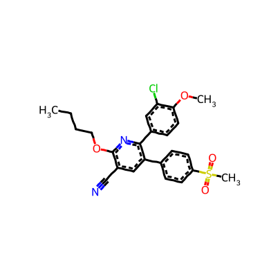 CCCCOc1nc(-c2ccc(OC)c(Cl)c2)c(-c2ccc(S(C)(=O)=O)cc2)cc1C#N